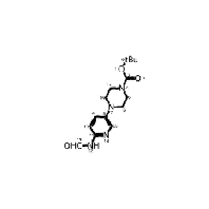 CC(C)(C)OC(=O)N1CCN(c2ccc(NC=O)nc2)CC1